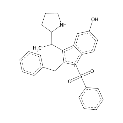 CC(c1c(Cc2ccccc2)n(S(=O)(=O)c2ccccc2)c2ccc(O)cc12)C1CCCN1